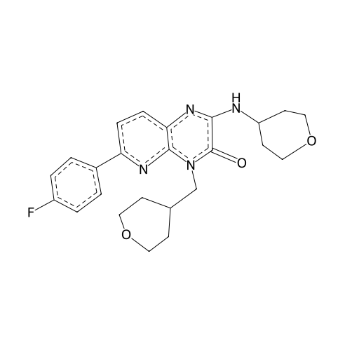 O=c1c(NC2CCOCC2)nc2ccc(-c3ccc(F)cc3)nc2n1CC1CCOCC1